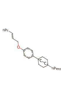 CCC/C=C/COc1ccc(C23CCC(CCCCC)(CC2)CC3)cc1